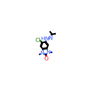 CC(C)=NNc1cc2c(cc1Cl)n(C)c(=O)n2C